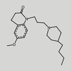 CCCCC1CCN(CCCN2C(=O)CCc3cc(OC)ccc32)CC1